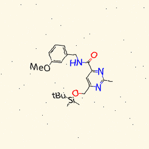 COc1cccc(CNC(=O)c2cc(CO[Si](C)(C)C(C)(C)C)nc(C)n2)c1